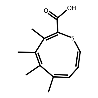 Cc1cccsc(C(=O)O)c(C)c(C)c1C